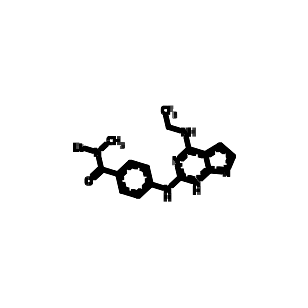 CCN(C)C(=O)c1ccc(Nc2nc(NCC(F)(F)F)c3ccnc-3[nH]2)cc1